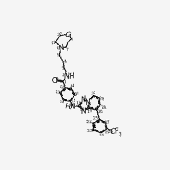 O=C(NCCCN1CCOCC1)c1ccc(Nc2nc3c(-c4cccc(C(F)(F)F)c4)cccn3n2)cc1